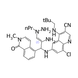 CCCN(N)/C=C(\N)C(Nc1cc(Cl)c2ncc(C#N)c(NCC(C)(C)C)c2c1)c1cccc2c(=O)n(C)ccc12